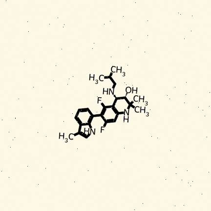 Cc1c[nH]c2c(-c3c(F)cc4c(c3F)[C@@H](NCC(C)C)[C@H](O)C(C)(C)N4)cccc12